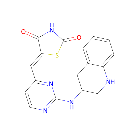 O=C1NC(=O)C(=Cc2ccnc(NC3CNc4ccccc4C3)n2)S1